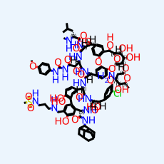 CN[C@H](CC(C)C)C(=O)N[C@H]1C(=O)N[C@@H](CC(=O)NC(=O)Nc2ccc(OC)cc2)C(=O)N[C@H]2C(=O)N[C@H]3C(=O)N[C@H](C(=O)N[C@H](C(=O)NC4C5CC6CC(C5)CC4C6)c4cc(O)c(CNCCCNS(C)(=O)=O)c(O)c4-c4cc3ccc4O)[C@H](O)c3ccc(c(Cl)c3)Oc3cc2cc2c3O[C@@H]3O[C@H](C(O)c4cc(ccc4O2)[C@H]1O)[C@@H](O)[C@H](O)[C@H]3O[C@H]1C[C@](C)(N)[C@H](O)[C@H](C)O1